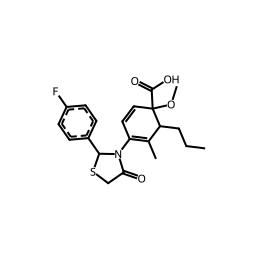 CCCC1C(C)=C(N2C(=O)CSC2c2ccc(F)cc2)C=CC1(OC)C(=O)O